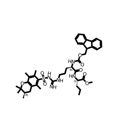 CCC[C@H](NC(=O)[C@@H](CCCNC(=N)NS(=O)(=O)c1c(C)c(C)c2c(c1C)C[C@@H](C)C(C)(C)O2)NC(=O)OCC1c2ccccc2-c2ccccc21)C(=O)OC